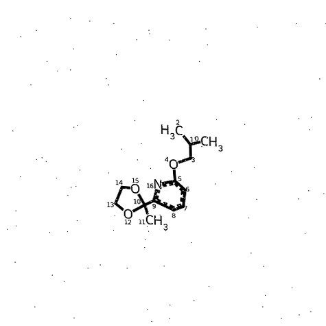 CC(C)COc1cccc(C2(C)OCCO2)n1